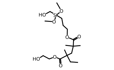 CCC(C)(CC(C)(C)C(=O)OCCC[Si](CO)(OC)OC)C(=O)OCCO